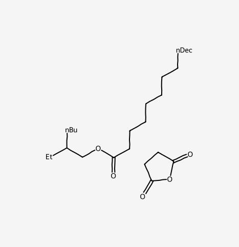 CCCCCCCCCCCCCCCCCC(=O)OCC(CC)CCCC.O=C1CCC(=O)O1